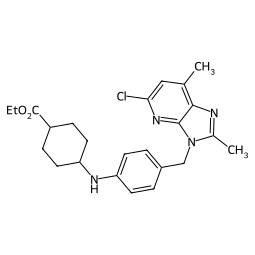 CCOC(=O)C1CCC(Nc2ccc(Cn3c(C)nc4c(C)cc(Cl)nc43)cc2)CC1